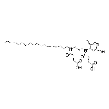 CCCCCCCCCCCCCCCCCCN(CCCN(C(=O)C=CC(=O)O)C(CC(=O)O)C(=O)O)C(=O)C=CC(=O)O